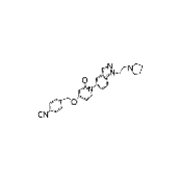 [C-]#[N+]c1ccc(COc2ccn(-c3ccc4c(cnn4CCN4CCCC4)c3)c(=O)c2)cc1